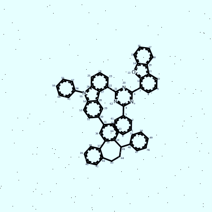 c1ccc(-c2nc(-c3cccc4c3oc3ccccc34)nc(-c3cccc4c3c3cc(-c5ccc6c(c5)-c5ccccc5CCC6c5ccccc5)ccc3n4-c3ccccc3)n2)cc1